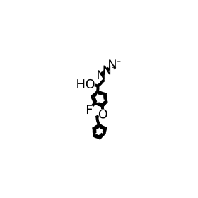 [N-]=[N+]=NCC(O)c1ccc(OCc2ccccc2)c(F)c1